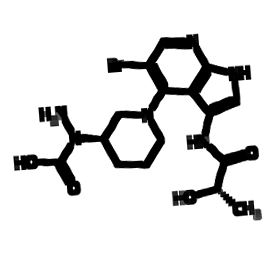 C[C@H](O)C(=O)Nc1c[nH]c2ncc(Br)c(N3CCC[C@@H](N(N)C(=O)O)C3)c12